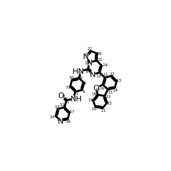 O=C(Nc1ccc(Nc2nc(-c3cccc4c3oc3ccccc34)cc3ccnn23)cc1)c1ccncc1